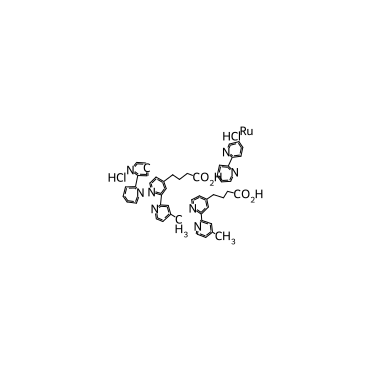 Cc1ccnc(-c2cc(CCCC(=O)O)ccn2)c1.Cc1ccnc(-c2cc(CCCC(=O)O)ccn2)c1.Cl.Cl.[Ru].c1ccc(-c2ccccn2)nc1.c1ccc(-c2ccccn2)nc1